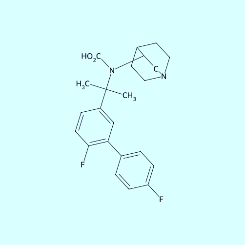 CC(C)(c1ccc(F)c(-c2ccc(F)cc2)c1)N(C(=O)O)C1CN2CCC1CC2